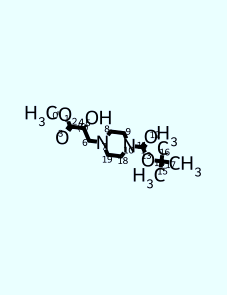 COC(=O)[C@@H](O)CN1CCN(C(=O)OC(C)(C)C)CC1